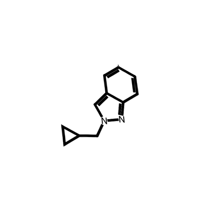 [c]1ccc2nn(CC3CC3)cc2c1